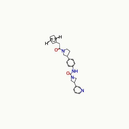 O=C(CC1C[C@@H]2CC[C@H]1C2)N1CCC(c2ccc(NC(=O)N3CC(c4cccnc4)C3)cc2)C1